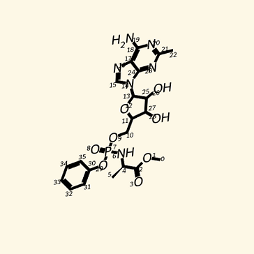 COC(=O)[C@@H](C)NP(=O)(OCC1OC(n2cnc3c(N)nc(C)nc32)C(O)C1O)Oc1ccccc1